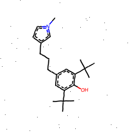 Cn1ccc(CCCc2cc(C(C)(C)C)c(O)c(C(C)(C)C)c2)c1